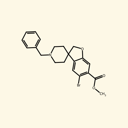 COC(=O)c1cc2c(cc1Br)C1(CCN(Cc3ccccc3)CC1)CO2